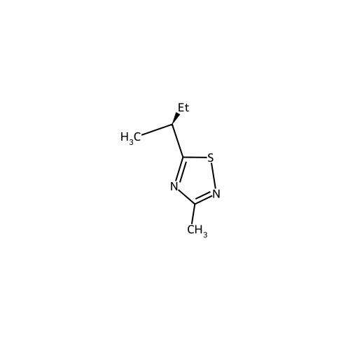 CC[C@H](C)c1nc(C)ns1